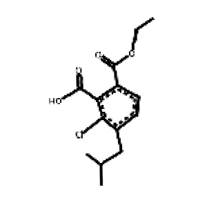 CCOC(=O)c1ccc(CC(C)C)c(Cl)c1C(=O)O